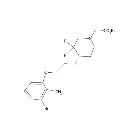 CCOC(=O)CN1CC[C@H](CCCOc2cccc(Br)c2C)C(F)(F)C1